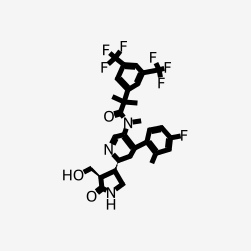 Cc1cc(F)ccc1C1=C(N(C)C(=O)C(C)(C)c2cc(C(F)(F)F)cc(C(F)(F)F)c2)C=N[C@@H](C2CNC(=O)[C@H]2CO)C1